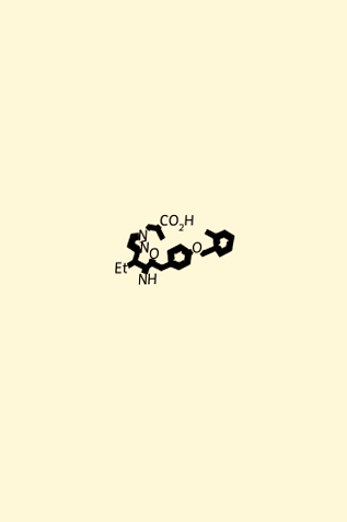 CCC(C(=N)C(=O)Cc1ccc(OCc2ccccc2C)cc1)c1ccn(CC(C)C(=O)O)n1